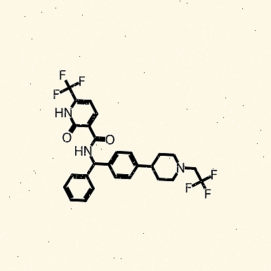 O=C(NC(c1ccccc1)c1ccc(C2CCN(CC(F)(F)F)CC2)cc1)c1ccc(C(F)(F)F)[nH]c1=O